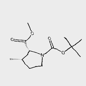 COC(=O)[C@H]1[C@@H](C)CCN1C(=O)OC(C)(C)C